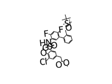 COC(=O)Cc1cc(Cl)c(OC)c(S(=O)(=O)Nc2cc(-c3ccccc3CO[Si](C)(C)C(C)(C)C)c(F)cc2F)c1